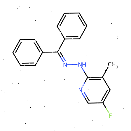 Cc1cc(F)cnc1NN=C(c1ccccc1)c1ccccc1